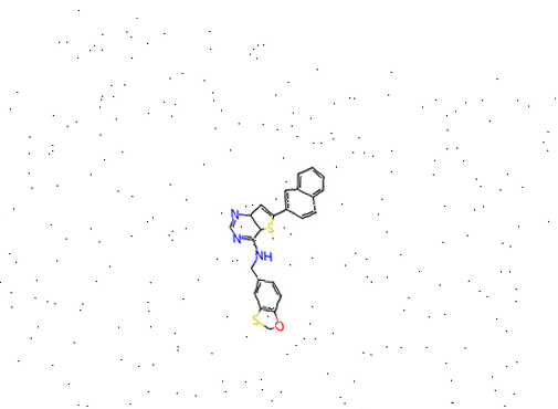 C1=NC2C=C(c3ccc4ccccc4c3)SC2C(NCc2ccc3c(c2)SCO3)=N1